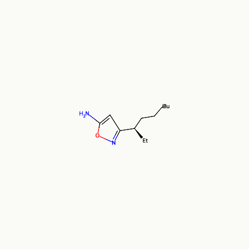 CCC(C)CC[C@@H](CC)c1cc(N)on1